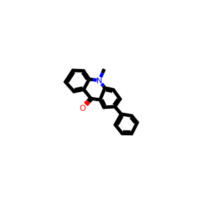 Cn1c2ccccc2c(=O)c2cc(-c3ccccc3)ccc21